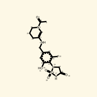 CC(=O)N1C=C(NCc2cc(O)c(N3CC(=O)NS3(=O)=O)c(F)c2)CCC1